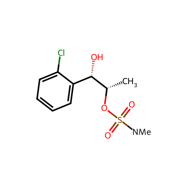 CNS(=O)(=O)O[C@@H](C)[C@@H](O)c1ccccc1Cl